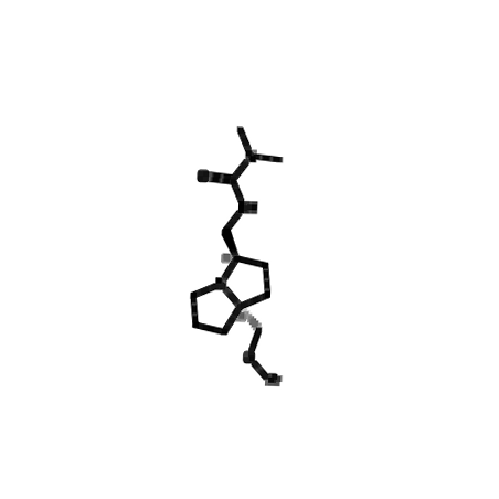 CC(C)OC[C@]12CCCN1[C@@H](CNC(=O)N(C)C)CC2